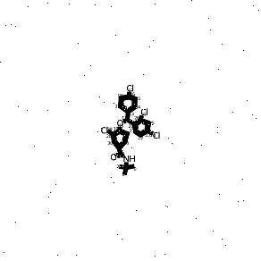 CC(C)(C)NC(=O)c1ccc(OC(c2ccc(Cl)cc2)c2ccc(Cl)cc2Cl)c(Cl)c1